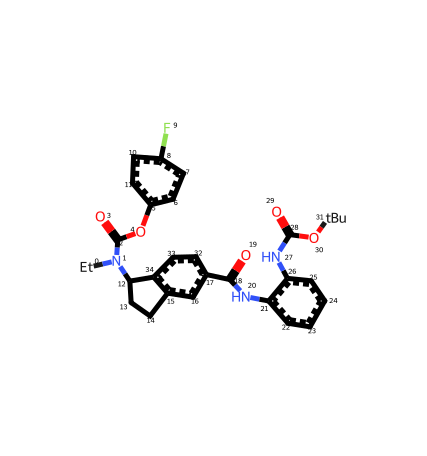 CCN(C(=O)Oc1ccc(F)cc1)C1CCc2cc(C(=O)Nc3ccccc3NC(=O)OC(C)(C)C)ccc21